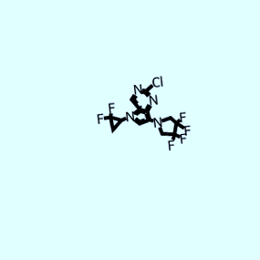 FC1(F)CC1n1cc(N2CC(F)(F)C(F)(F)C2)c2nc(Cl)ncc21